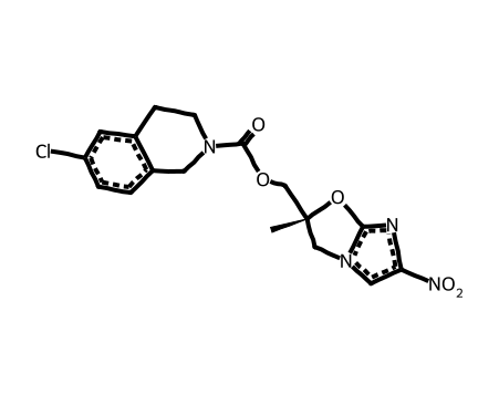 C[C@]1(COC(=O)N2CCc3cc(Cl)ccc3C2)Cn2cc([N+](=O)[O-])nc2O1